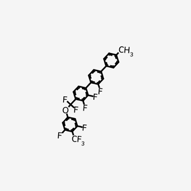 Cc1ccc(-c2ccc(-c3ccc(C(F)(F)Oc4cc(F)c(C(F)(F)F)c(F)c4)c(F)c3F)c(F)c2)cc1